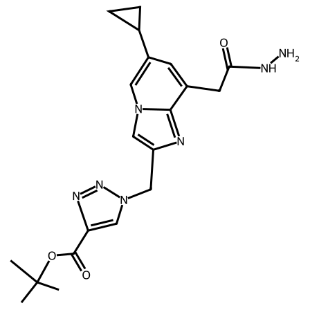 CC(C)(C)OC(=O)c1cn(Cc2cn3cc(C4CC4)cc(CC(=O)NN)c3n2)nn1